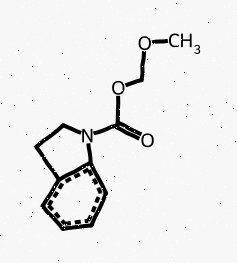 COCOC(=O)N1CCc2ccccc21